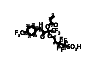 C=CC(=O)OC(OCCC(F)(F)C(F)(F)S(=O)(=O)O)(C(=O)Nc1ccc(C(F)(F)F)cc1)C(F)(F)F